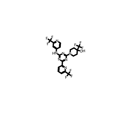 OC1(C(F)(F)F)CCN(c2nc(Nc3ccnc(C(F)(F)F)c3)nc(-c3cccc(C(F)(F)F)n3)n2)CC1